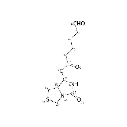 O=CCCCCC(=O)OC1NC(=O)N2CSCC12